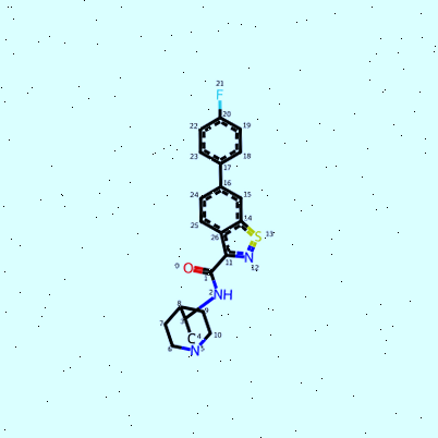 O=C(NC1CN2CCC1CC2)c1nsc2cc(-c3ccc(F)cc3)ccc12